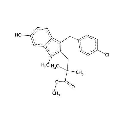 COC(=O)C(C)(C)Cc1c(Cc2ccc(Cl)cc2)c2ccc(O)cc2n1C